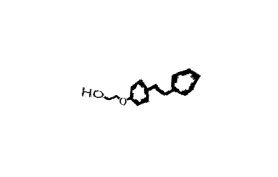 OCCOc1ccc(/C=C/c2ccccc2)cc1